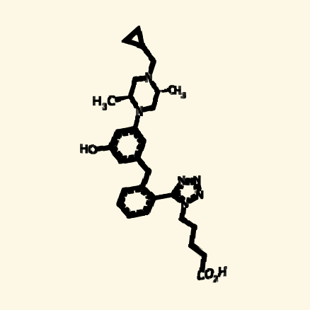 C[C@@H]1CN(c2cc(O)cc(Cc3ccccc3-c3nnnn3CCCCC(=O)O)c2)[C@@H](C)CN1CC1CC1